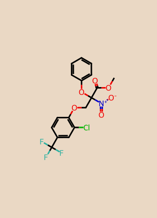 COC(=O)C(COc1ccc(C(F)(F)F)cc1Cl)(Oc1ccccc1)[N+](=O)[O-]